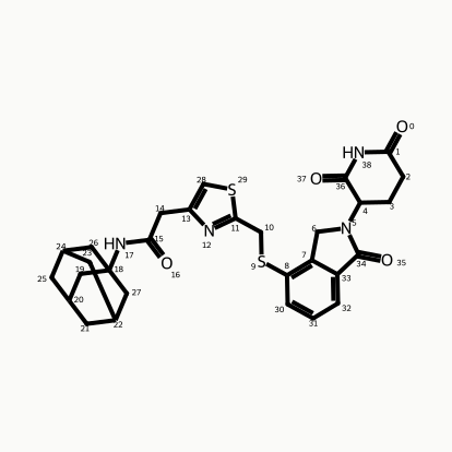 O=C1CCC(N2Cc3c(SCc4nc(CC(=O)NC56CC7CC(CC(C7)C5)C6)cs4)cccc3C2=O)C(=O)N1